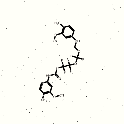 Cc1ccc(NCOC(F)(F)OC(F)(F)C(F)(F)OC(=O)Nc2ccc(C)c(OC#N)c2)cc1OC#N